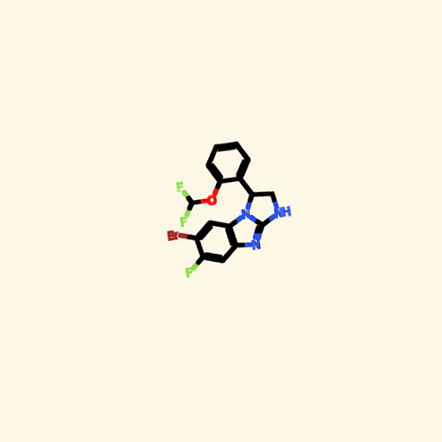 Fc1cc2nc3n(c2cc1Br)C(c1ccccc1OC(F)F)CN3